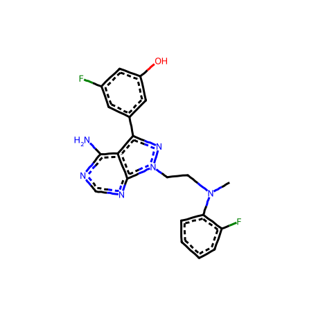 CN(CCn1nc(-c2cc(O)cc(F)c2)c2c(N)ncnc21)c1ccccc1F